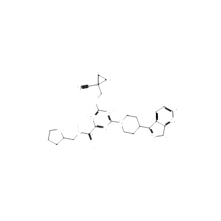 N#CC1(COc2nc(C(=O)NCC3CCCO3)nc(N3CCC(C4=NCc5ncccc54)CC3)n2)CC1